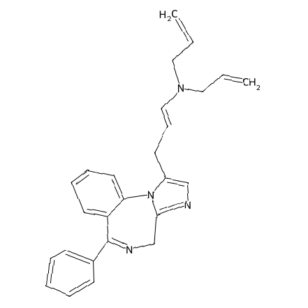 C=CCN(C=CCc1cnc2n1-c1ccccc1C(c1ccccc1)=NC2)CC=C